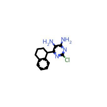 Nc1nc(Cl)nc(C2CCCc3ccccc32)c1N